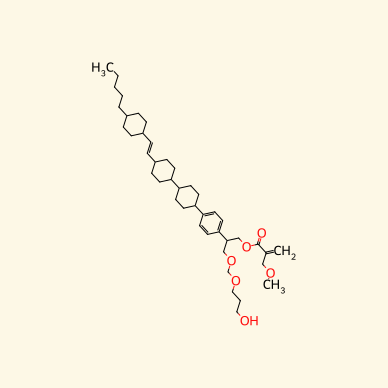 C=C(COC)C(=O)OCC(COCOCCCO)c1ccc(C2CCC(C3CCC(/C=C/C4CCC(CCCCC)CC4)CC3)CC2)cc1